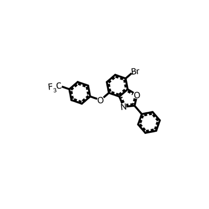 FC(F)(F)c1ccc(Oc2ccc(Br)c3oc(-c4ccccc4)nc23)cc1